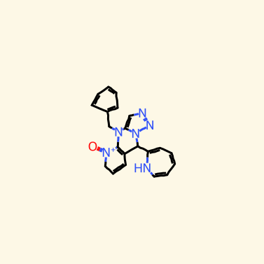 O=[N+]1CC=CC2=C1N(Cc1ccccc1)c1cnnn1C2C1=CC=CC=CN1